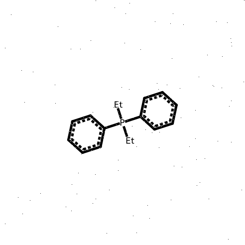 CC[P](CC)(c1ccccc1)c1ccccc1